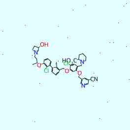 Cc1c(COc2cc(OCc3cncc(C#N)c3)c(CN3CCCCC3C(=O)O)cc2Cl)cccc1-c1cccc(OC(C)CCN2CCC(O)C2)c1Cl